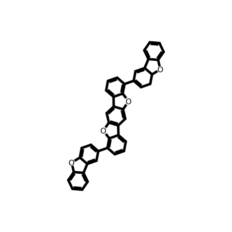 C1=C(c2cccc3c2oc2cc4c(cc23)oc2c(-c3ccc5oc6ccccc6c5c3)cccc24)C=C2c3ccccc3OC2C1